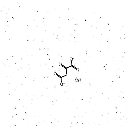 O=C([O-])CC(=O)C(=O)[O-].[Zn+2]